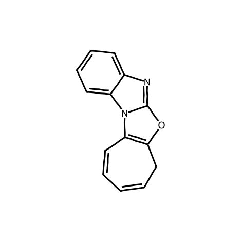 C1=CCc2oc3nc4ccccc4n3c2C=C1